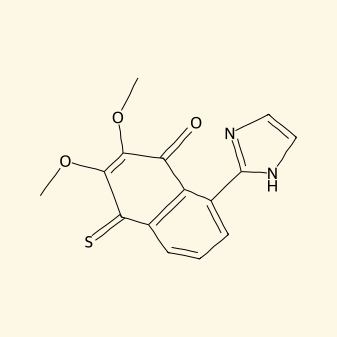 COC1=C(OC)C(=S)c2cccc(-c3ncc[nH]3)c2C1=O